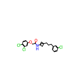 O=C(COc1ccc(Cl)c(Cl)c1)NC12CC(CCCc3cccc(Cl)c3)(C1)C2